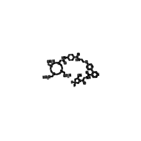 N#C[C@@H]1CC(F)(F)CN1C(=O)CNC(=O)c1ccncc1-c1ccc(OCCNC(=O)C2CCC(NC(=O)CN3CCN(CC(=O)O)CCN(CC(=O)O)CCN(CC(=O)O)CC3)CC2)cc1